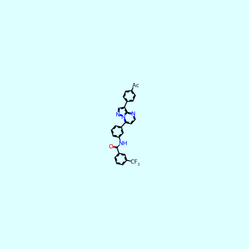 CC(=O)c1ccc(-c2cnn3c(-c4cccc(NC(=O)c5cccc(C(F)(F)F)c5)c4)ccnc23)cc1